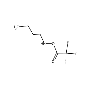 CCCCNOC(=O)C(F)(F)F